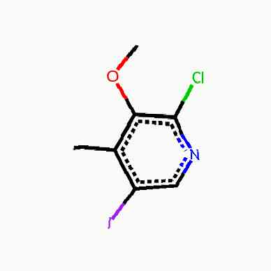 COc1c(Cl)ncc(I)c1C